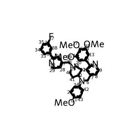 COc1ccc(N(Cc2ccnc(-c3cc(OC)c(OC)c(OC)c3)c2)C2CCN(Cc3ccnc(-c4cccc(F)c4)c3)CC2)cc1